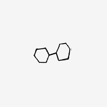 [C]1CCC(C2CCCCC2)CC1